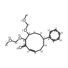 COCOC1CCC(c2ccccc2)CC/C=C\C(=O)C1OCOC